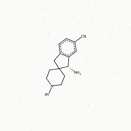 CC(C)N1CCC2(CC1)Cc1ccc(C#N)cc1[C@@H]2N